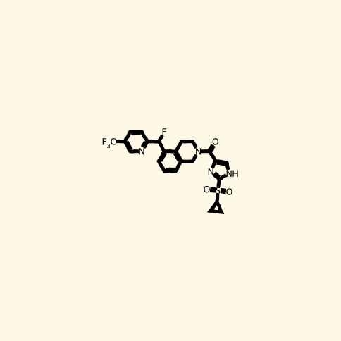 O=C(c1c[nH]c(S(=O)(=O)C2CC2)n1)N1CCc2c(cccc2C(F)c2ccc(C(F)(F)F)cn2)C1